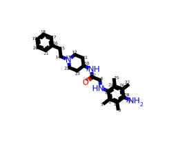 Cc1c(C)c(NCC(=O)NC2CCN(CCc3ccccc3)CC2)c(C)c(C)c1N